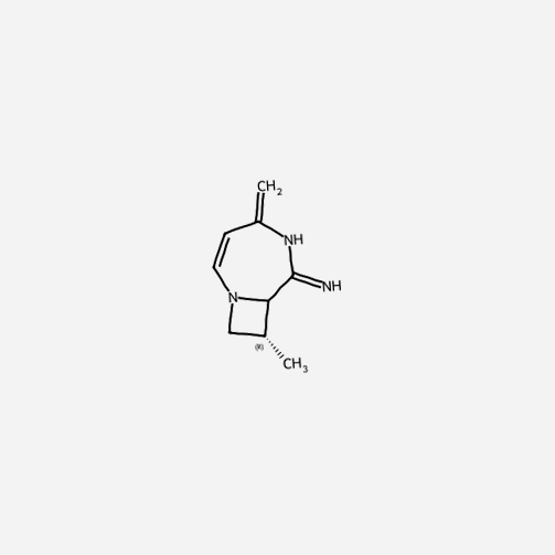 C=C1C=CN2C[C@@H](C)C2C(=N)N1